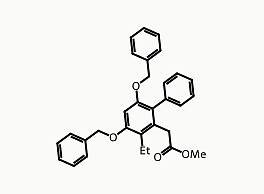 CCc1c(OCc2ccccc2)cc(OCc2ccccc2)c(-c2ccccc2)c1CC(=O)OC